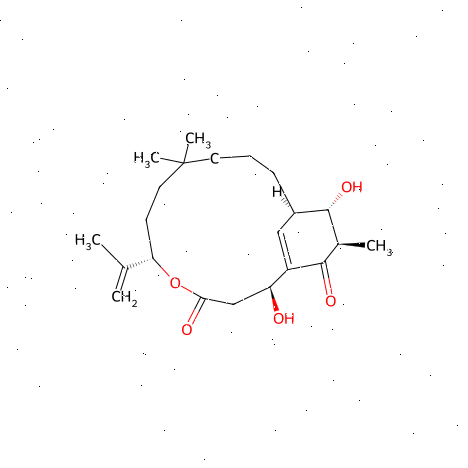 C=C(C)[C@@H]1CCC(C)(C)CCC[C@@H]2C=C(C(=O)[C@H](C)[C@H]2O)[C@@H](O)CC(=O)O1